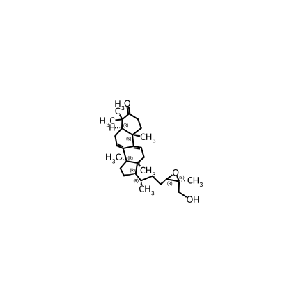 C[C@H](CC[C@H]1O[C@@]1(C)CO)[C@H]1CC[C@@]2(C)C3=CC[C@H]4C(C)(C)C(=O)CC[C@]4(C)C3=CC[C@]12C